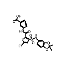 CN(c1ccc2c(c1)OC(C)(C)O2)S(=O)(=O)c1cc(Cl)sc1C(=O)Nc1cccc(C(=O)O)c1